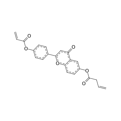 C=CCC(=O)Oc1ccc2oc(-c3ccc(OC(=O)C=C)cc3)cc(=O)c2c1